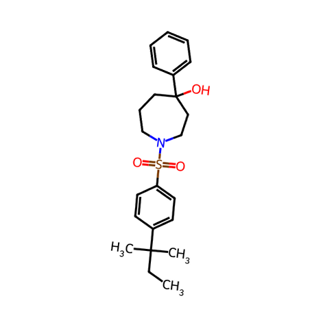 CCC(C)(C)c1ccc(S(=O)(=O)N2CCCC(O)(c3ccccc3)CC2)cc1